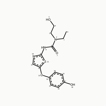 CCN(CCO)C(=O)Nc1ncc(Oc2ccc(O)cc2)s1